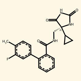 Cc1ccc(-c2ccccc2C(=O)NC[C@@]2(C3CC3)NC(=O)NC2=O)cc1F